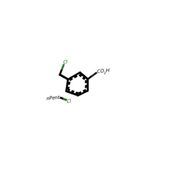 CCCCCCl.O=C(O)c1cccc(CCl)c1